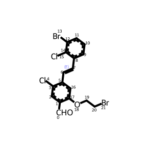 O=Cc1cc(Cl)c(/C=C/c2cccc(Br)c2Cl)cc1OCCBr